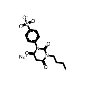 CCCCN1C(=O)CC(=O)N(c2ccc(S(=O)(=O)[O-])cc2)C1=O.[Na+]